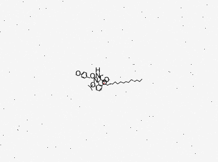 CCCCCCCCCCCCCCCc1cccc(OC(C)C)c1C1N=C(OCc2ccc(OC)cc2)NC(C)=C1C(=O)OC